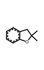 CC1(C)Cc2[c]cccc2O1